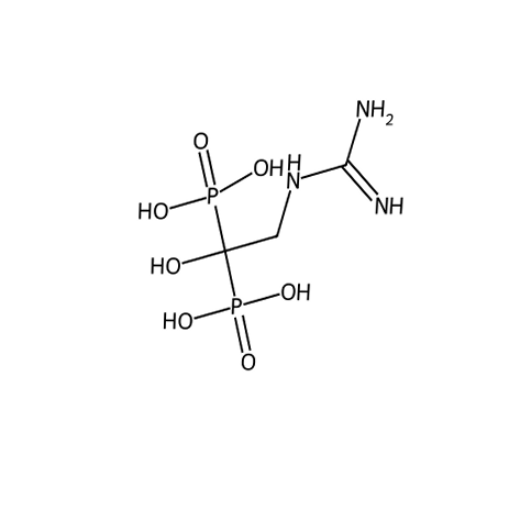 N=C(N)NCC(O)(P(=O)(O)O)P(=O)(O)O